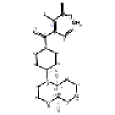 C=C(Cl)/C(C)=C(\N=C/N)C(=O)N1CCC(N2CCO[C@@H]3COCC[C@@H]32)CC1